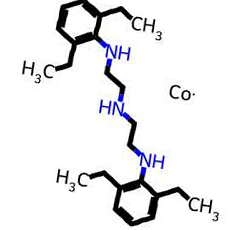 CCc1cccc(CC)c1NCCNCCNc1c(CC)cccc1CC.[Co]